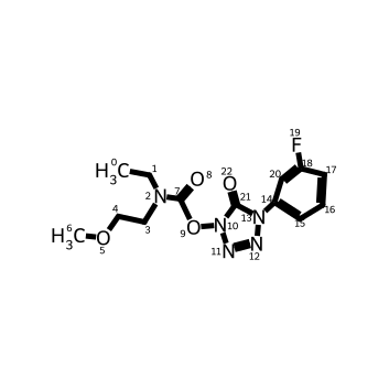 CCN(CCOC)C(=O)On1nnn(-c2cccc(F)c2)c1=O